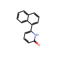 O=c1cccc(-c2cccc3ccccc23)[nH]1